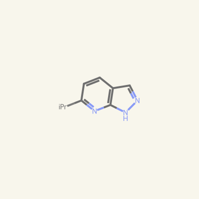 CC(C)c1ccc2cn[nH]c2n1